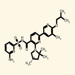 Cc1cc(-c2ccc(C(=O)NS(=O)(=O)c3cccc(N)n3)c(N3C[C@@H](C)CC3(C)C)n2)cnc1OCC(C)C